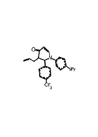 C=CCC1C(=O)C=CN(c2ccc(C(C)C)cc2)C1c1ccc(C(F)(F)F)cc1